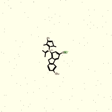 CC1=[C]([Zr+2](=[C](C)C)[c]2cc(C(C)(C)C)cc3c2Cc2ccc(C(C)(C)C)cc2-3)C(C)C=C1C(C)C.[Cl-].[Cl-]